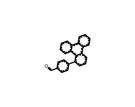 O=Cc1ccc(-c2cccc3c4ccccc4c4ccccc4c23)cc1